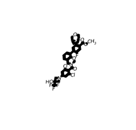 COC(=O)c1cc(F)c(-c2cccc3c2OCN(C(=O)c2c(Cl)cc(N4CC(O)(C(F)(F)F)C4)cc2Cl)C3)cc1N1C2CCC1COC2